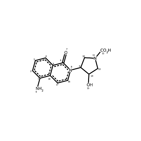 Nc1cccc2c(=O)n(C3CN(C(=O)O)CC3O)ccc12